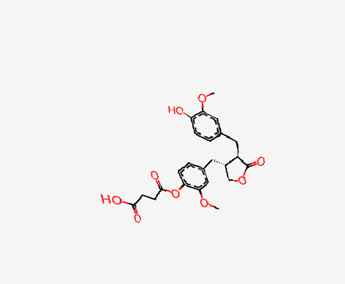 COc1cc(C[C@H]2C(=O)OC[C@@H]2Cc2ccc(OC(=O)CCC(=O)O)c(OC)c2)ccc1O